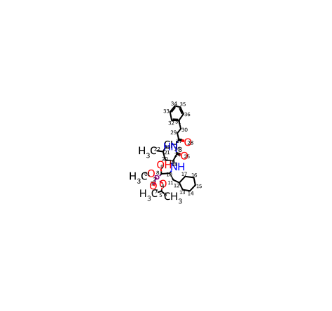 COP(=O)(OC(C)C)C(O)[C@H](CC1CCCCC1)N[C@@H](CC(C)C)C(=O)NC(=O)CCc1ccccc1